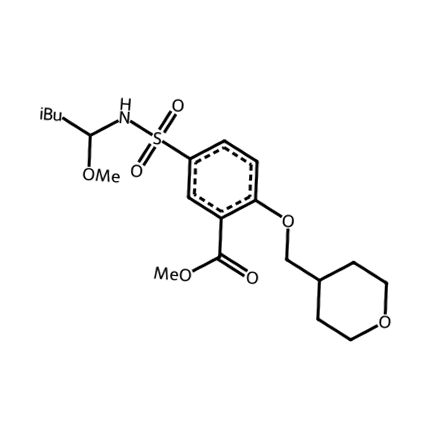 CCC(C)C(NS(=O)(=O)c1ccc(OCC2CCOCC2)c(C(=O)OC)c1)OC